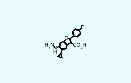 NNc1cc2oc(-c3ccc(F)cc3)c(C(=O)O)c2cc1C1CC1